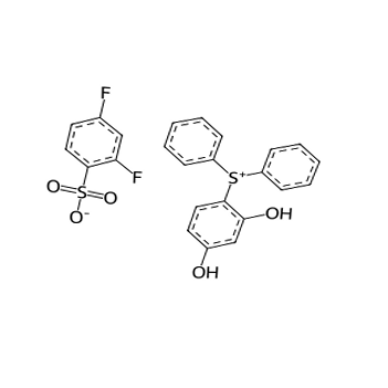 O=S(=O)([O-])c1ccc(F)cc1F.Oc1ccc([S+](c2ccccc2)c2ccccc2)c(O)c1